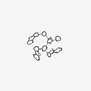 c1ccc(-c2nc(-c3cccc(-c4ccc5sc6ccccc6c5c4)c3)cc(-c3cc(-c4cccc5c4oc4ccccc45)cc(-c4cccc5c4oc4ccccc45)c3)n2)cc1